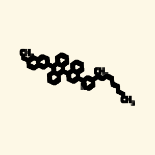 CCC/C=C/C=C\C=C(/C)c1ccnc(-c2ccc(-c3c4ccccc4c(-c4ccc5cc(CC)ccc5c4)c4ccccc34)c3ccccc23)c1